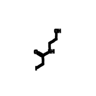 O=C(CI)NCCO